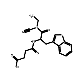 CCN(C#N)C(=O)C(Cc1csc2ccccc12)NC(=O)CCC(=O)O